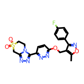 Cc1onc(-c2ccc(F)cc2)c1COc1ccc(-c2nnc3n2CCS(=O)(=O)C3)nn1